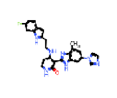 Cc1cc(-n2ccnc2)cc2[nH]c(-c3c(NCCc4cc5ccc(F)cc5[nH]4)cc[nH]c3=O)nc12